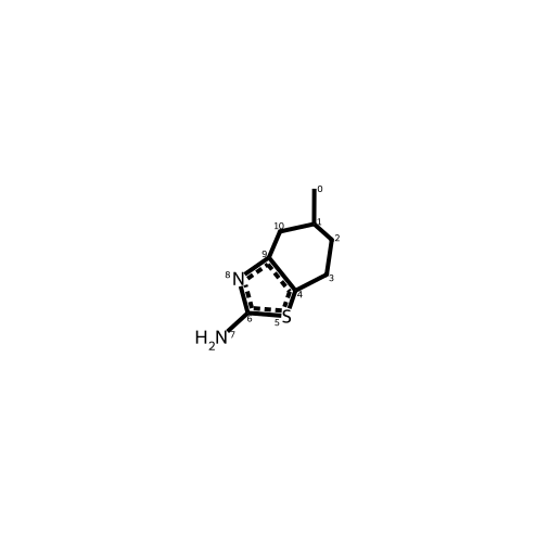 CC1CCc2sc(N)nc2C1